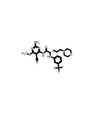 CSc1nc(N)nc(NC(=O)[C@H](CCCN2CCOCC2)Nc2cccc(C(F)(F)F)c2)c1C#N